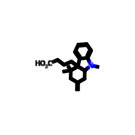 C=C1CC2N(C)c3ccccc3C2(CCCC(=O)O)C(C)(C)C1